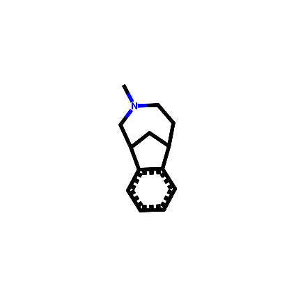 CN1CCC2CC(C1)c1ccccc12